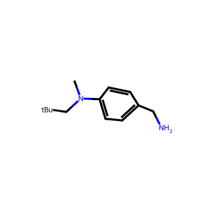 CN(CC(C)(C)C)c1ccc(CN)cc1